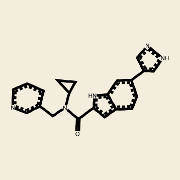 O=C(c1cc2ccc(-c3cn[nH]c3)cc2[nH]1)N(Cc1cccnc1)C1CC1